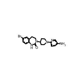 Nc1ccc(N2CCC(N3CCc4cc(Br)ccc4NC3=O)CC2)nc1